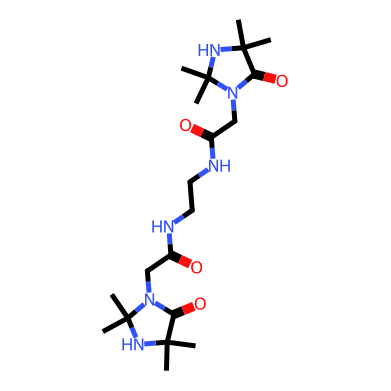 CC1(C)NC(C)(C)N(CC(=O)NCCNC(=O)CN2C(=O)C(C)(C)NC2(C)C)C1=O